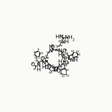 CC(=O)N[C@@H](Cc1ccccc1)C(=O)N[C@H]1CCCNC(=O)[C@H](CCCNC(=N)N)NC(=O)[C@H](Cc2c[nH]c3ccccc23)NC(=O)[C@H](CC2CCCCC2)NC(=O)[C@@H]2CCCN2C1=O